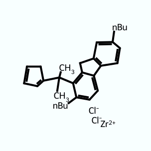 CCCCc1ccc2c(c1)Cc1c-2ccc(CCCC)c1C(C)(C)C1=CC=CC1.[Cl-].[Cl-].[Zr+2]